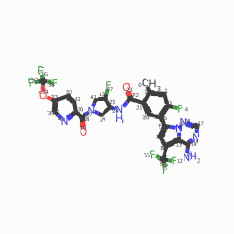 Cc1cc(F)c(-c2cc(C(F)(F)F)c3c(N)ncnn23)cc1C(=O)NC1CN(C(=O)c2ccc(OC(F)(F)F)cn2)CC1F